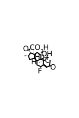 C[C@@H]1C[C@H]2[C@@H]3C[C@H](F)C4=CC(=O)CC[C@]4(C)[C@H]3[C@@H](O)C[C@]2(C)[C@H]1C(=O)C(=O)O